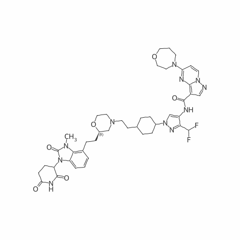 Cn1c(=O)n(C2CCC(=O)NC2=O)c2cccc(CC[C@@H]3CN(CCC4CCC(n5cc(NC(=O)c6cnn7ccc(N8CCCOCC8)nc67)c(C(F)F)n5)CC4)CCO3)c21